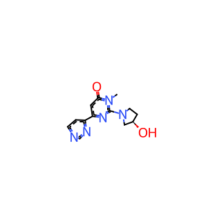 Cn1c(N2CC[C@@H](O)C2)nc(-c2ccncn2)cc1=O